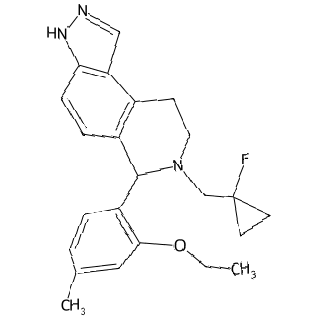 CCOc1cc(C)ccc1C1c2ccc3[nH]ncc3c2CCN1CC1(F)CC1